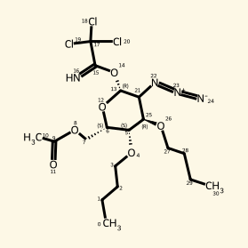 CCCCO[C@@H]1[C@H](COC(C)=O)O[C@H](OC(=N)C(Cl)(Cl)Cl)C(N=[N+]=[N-])[C@H]1OCCCC